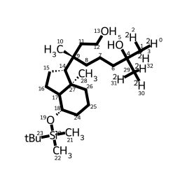 [2H]C([2H])([2H])C(O)(CCC[C@@](C)(CCO)[C@H]1CCC2[C@@H](O[Si](C)(C)C(C)(C)C)CCC[C@@]21C)C([2H])([2H])[2H]